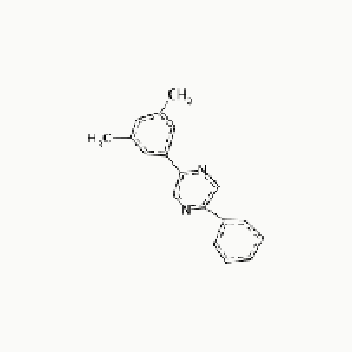 Cc1cc(C)cc(-c2cnc(-c3ccccc3)cn2)c1